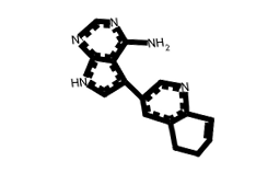 Nc1ncnc2[nH]cc(-c3cnc4c(c3)CCC=C4)c12